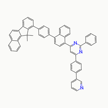 CC1(C)c2c(-c3ccc(-c4ccc(-c5cc(-c6ccc(-c7cccnc7)cc6)nc(-c6ccccc6)n5)c5ccccc45)cc3)cccc2-c2ccc3ccccc3c21